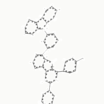 Cc1ccc(-c2nc(-c3ccccc3)nc3c2oc2c(-c4cccc(-n5c6ccccc6c6ccccc65)c4)cccc23)cc1